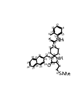 CSCCC1NC2(CCN(C(=S)Nc3ccccc3C)CC2)N(Cc2ccc3ccccc3c2)C1=O